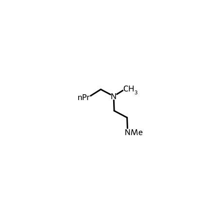 CCCCN(C)CCNC